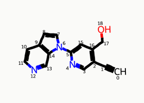 C#Cc1cnc(-n2ccc3ccncc32)cc1CO